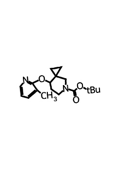 Cc1cccnc1OC1CCN(C(=O)OC(C)(C)C)CC12CC2